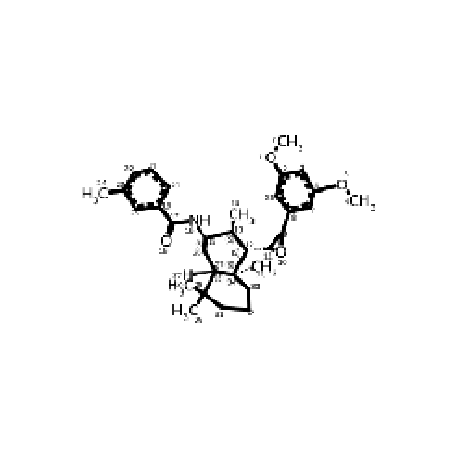 COc1cc(OC)cc(C2OC2[C@H]2[C@H](C)[C@H](NC(=O)c3cccc(C)c3)C[C@H]3C(C)(C)CCC[C@]23C)c1